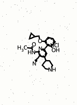 CC(=O)Nc1nc(-c2c(O)cccc2OCC2CC2)cc(C2CCNCC2)c1C#N.Cl